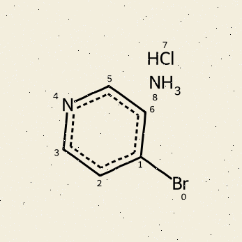 Brc1ccncc1.Cl.N